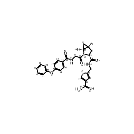 C[C@@]12C[C@@H](C(=O)NCc3cc(C(=N)N)cs3)N(C(=O)CNC(=O)c3ccc(Oc4ccccc4)cc3)[C@@H]1C2